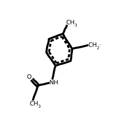 [CH2]c1cc(NC(C)=O)ccc1C